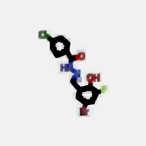 O=C(N/N=C/c1cc(Br)cc(F)c1O)c1ccc(Cl)cc1